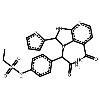 CCS(=O)(=O)Nc1ccc(C(C(N)=O)N2c3c(C(=O)O)ccnc3NC2c2cccs2)cc1